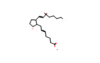 CCCCCC(C)(O)/C=C/C1CC[C@H](O)C1C/C=C/CCCC(=O)OC